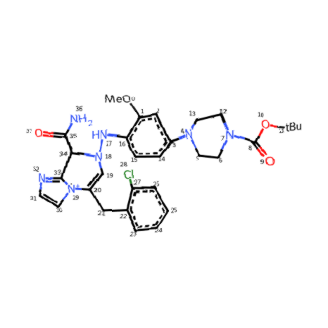 COc1cc(N2CCN(C(=O)OC(C)(C)C)CC2)ccc1NN1C=C(Cc2ccccc2Cl)[N+]2C=CN=C2C1C(N)=O